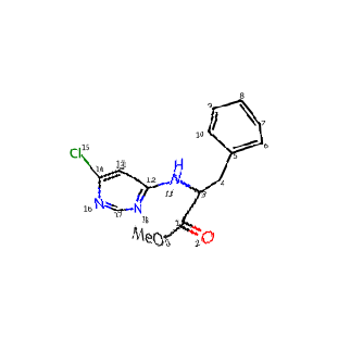 COC(=O)C(Cc1ccccc1)Nc1cc(Cl)ncn1